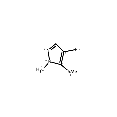 CSc1c(F)[c]nn1C